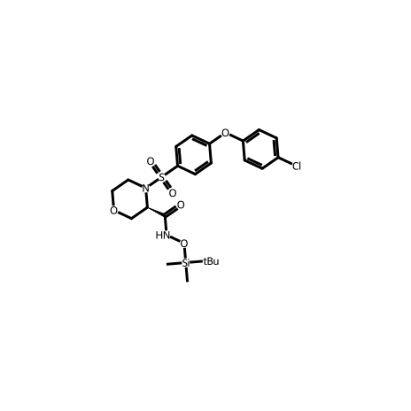 CC(C)(C)[Si](C)(C)ONC(=O)[C@H]1COCCN1S(=O)(=O)c1ccc(Oc2ccc(Cl)cc2)cc1